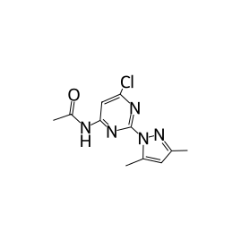 CC(=O)Nc1cc(Cl)nc(-n2nc(C)cc2C)n1